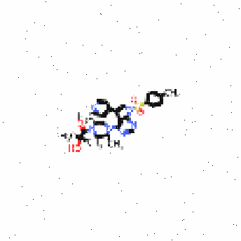 Cc1ccc(S(=O)(=O)n2cc(-c3ccncc3)c3c(N4C[C@@H](C)N(C(=O)C(C)(C)O)C[C@@H]4C)ncnc32)cc1